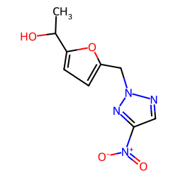 CC(O)c1ccc(Cn2ncc([N+](=O)[O-])n2)o1